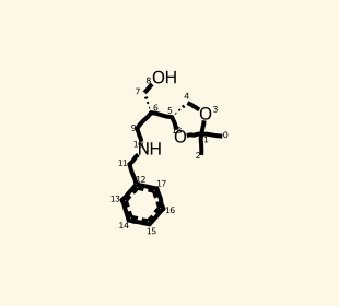 CC1(C)OC[C@@H]([C@@H](CO)CNCc2ccccc2)O1